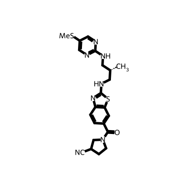 CSc1cnc(NC[C@H](C)CNc2nc3ccc(C(=O)N4CCC(C#N)C4)cc3s2)nc1